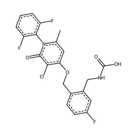 Cc1cc(OCc2ccc(F)cc2CNC(=O)O)c(Cl)c(=O)n1-c1c(F)cccc1F